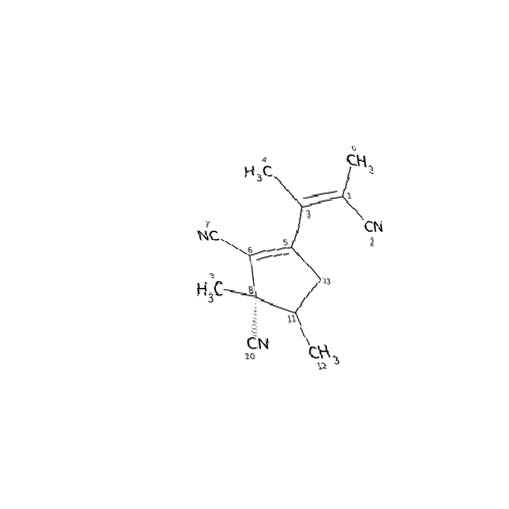 C/C(C#N)=C(\C)C1=C(C#N)[C@@](C)(C#N)C(C)C1